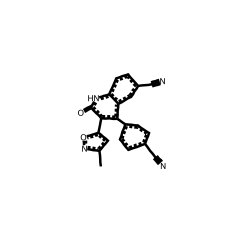 Cc1cc(-c2c(-c3ccc(C#N)cc3)c3cc(C#N)ccc3[nH]c2=O)on1